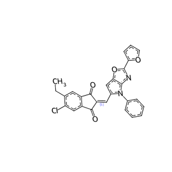 CCc1cc2c(cc1Cl)C(=O)/C(=C/c1cc3oc(-c4ccco4)nc3n1-c1ccccc1)C2=O